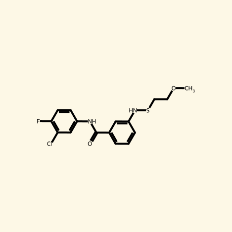 COCCSNc1cccc(C(=O)Nc2ccc(F)c(Cl)c2)c1